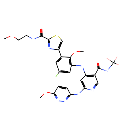 BC(B)(B)NC(=O)c1cnc(Nc2ccc(OC)nn2)cc1Nc1cc(F)cc(-c2csc(C(=O)NCCOC)n2)c1OC